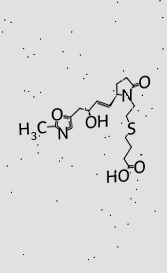 Cc1ncc(C[C@H](O)/C=C/[C@H]2CCC(=O)N2CCSCCCC(=O)O)o1